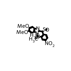 COc1cc2nc(C(=S=O)c3ccc([N+](=O)[O-])cc3N(C)C)[nH]c2cc1OC